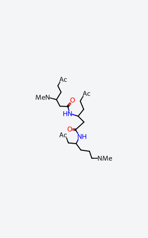 CNCCCC(CC(C)=O)NC(=O)CC(CCC(C)=O)NC(=O)CC(CCC(C)=O)NC